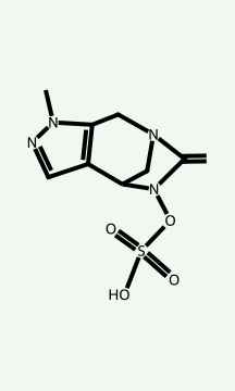 C=C1N2Cc3c(cnn3C)C(C2)N1OS(=O)(=O)O